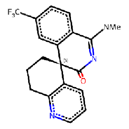 CNC1=NC(=O)[C@@]2(CCCc3ncccc32)c2cc(C(F)(F)F)ccc21